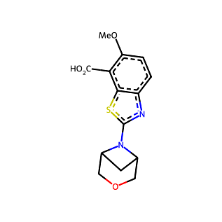 COc1ccc2nc(N3C4COCC3C4)sc2c1C(=O)O